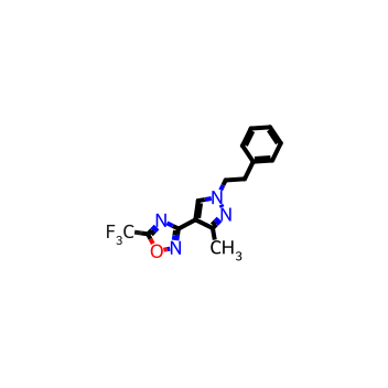 Cc1nn(CCc2ccccc2)cc1-c1noc(C(F)(F)F)n1